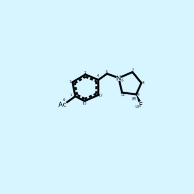 CC(=O)c1ccc(CN2CC[C@@H](F)C2)cc1